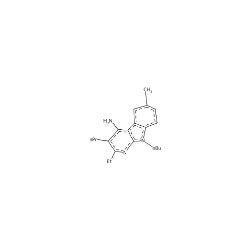 CCCCn1c2ccc(C)cc2c2c(N)c(CCC)c(CC)nc21